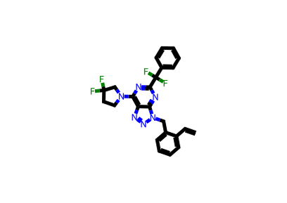 C=Cc1ccccc1Cn1nnc2c(N3CCC(F)(F)C3)nc(C(F)(F)c3ccccc3)nc21